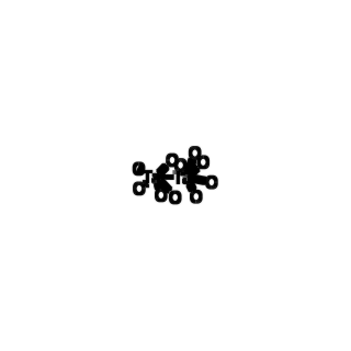 [O]=[Ta](=[O])(=[O])(=[O])(=[O])[Ta](=[O])(=[O])(=[O])(=[O])=[O]